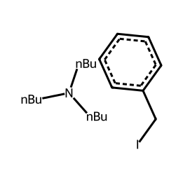 CCCCN(CCCC)CCCC.ICc1ccccc1